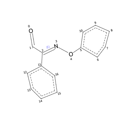 O=[C]/C(=N/Oc1ccccc1)c1ccccc1